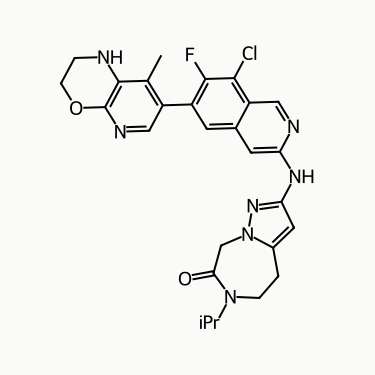 Cc1c(-c2cc3cc(Nc4cc5n(n4)CC(=O)N(C(C)C)CC5)ncc3c(Cl)c2F)cnc2c1NCCO2